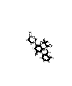 CC1(C)Oc2c(N3CCNCC3)cc(F)cc2N(Cc2ccccc2F)C1=O